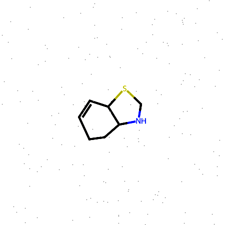 C1=CC2SCNC2CC1